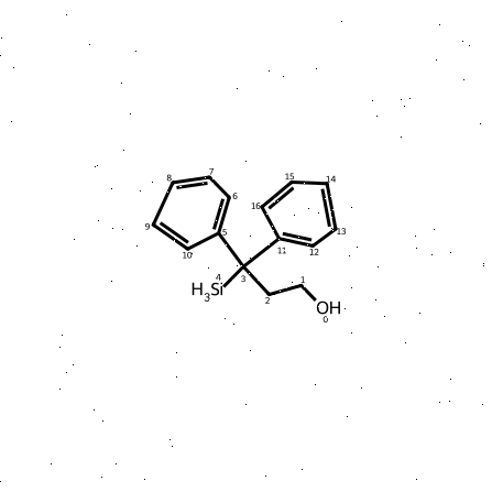 OCCC([SiH3])(c1ccccc1)c1ccccc1